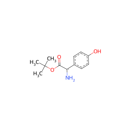 CC(C)(C)OC(=O)[C](N)c1ccc(O)cc1